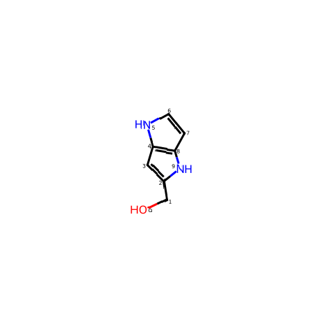 OCc1cc2[nH]ccc2[nH]1